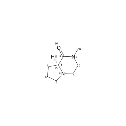 CN1CCN2CCC[C@H]2C1=O